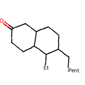 CCCC(C)CC1CCC2CC(=O)CCC2C1CC